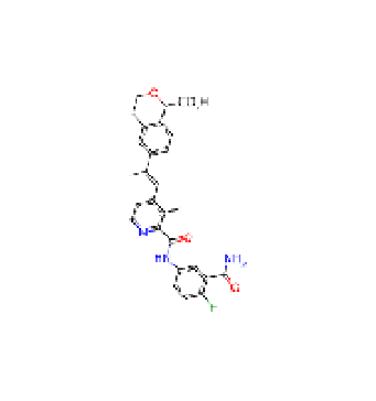 C/C(=C\c1ccnc(C(=O)Nc2ccc(F)c(C(N)=O)c2)c1C)c1ccc2c(c1)CCOC2C(=O)O